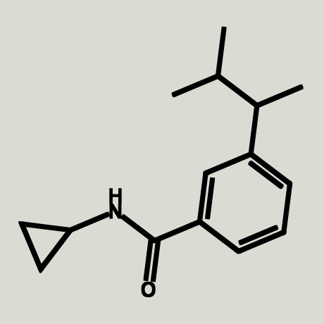 CC(C)C(C)c1cccc(C(=O)NC2CC2)c1